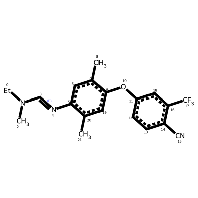 CCN(C)/C=N/c1cc(C)c(Oc2ccc(C#N)c(C(F)(F)F)c2)cc1C